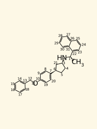 C[C@@H](N[C@H]1CC[C@@H](c2ccc(OCc3ccccc3)cc2)C1)c1cccc2ccccc12